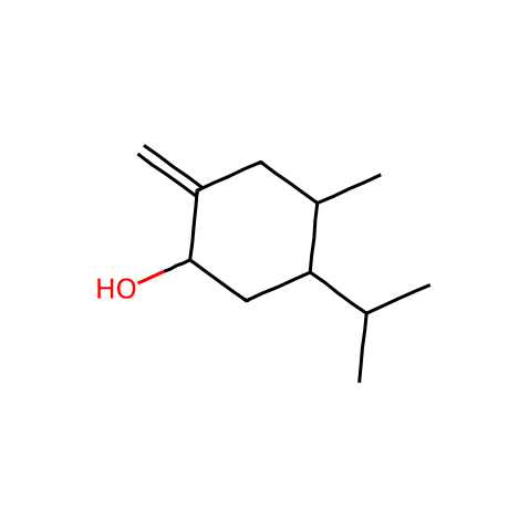 C=C1CC(C)C(C(C)C)CC1O